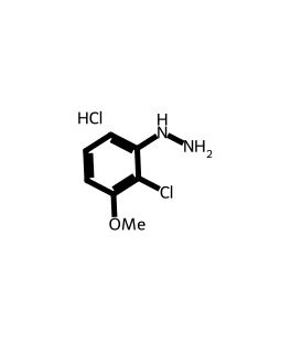 COc1cccc(NN)c1Cl.Cl